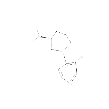 CC(C)(C)N(C(=O)O)[C@H]1C[C@H](F)CN(c2ccncc2N)C1